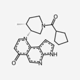 C[C@@H]1CCN(C(=O)C2CCCC2)C[C@@H]1n1ccc(=O)c2cnc3[nH]ccc3c21